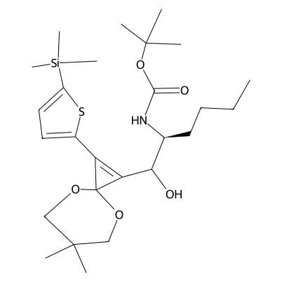 CCCC[C@H](NC(=O)OC(C)(C)C)C(O)C1=C(c2ccc([Si](C)(C)C)s2)C12OCC(C)(C)CO2